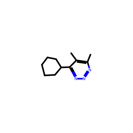 Cc1nnnc(C2CCCCC2)c1C